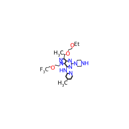 CCOCCOC(C)c1nn(CCOCC(F)(F)F)c2c(Nc3cc(C)ccn3)nc(N3CCNCC3)nc12